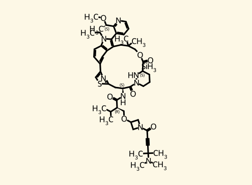 CCn1c(-c2cccnc2[C@H](C)OC)c2c3cc(ccc31)-c1csc(n1)C[C@H](NC(=O)[C@@H](COC1CN(C(=O)C#CC(C)(C)N(C)C)C1)C(C)C)C(=O)N1CCC[C@@]([SiH3])(N1)C(=O)OCC(C)(C)C2